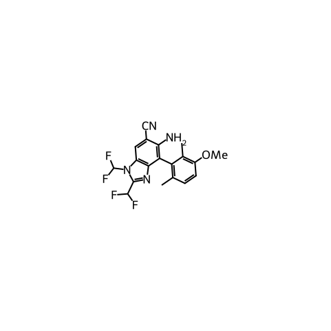 COc1ccc(C)c(-c2c(N)c(C#N)cc3c2nc(C(F)F)n3C(F)F)c1C